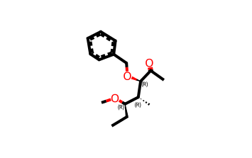 CC[C@@H](OC)[C@@H](C)[C@@H](OCc1ccccc1)C(C)=O